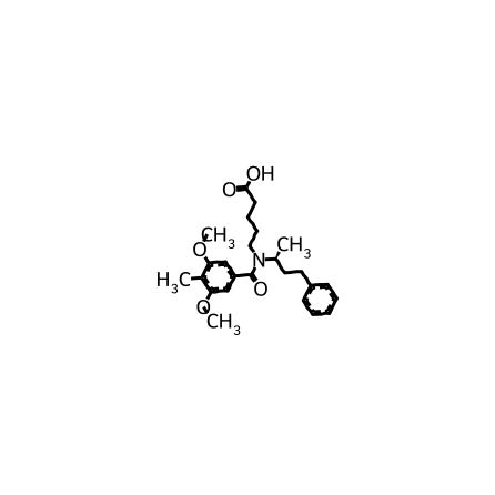 COc1cc(C(=O)N(CCCCC(=O)O)[C@@H](C)CCc2ccccc2)cc(OC)c1C